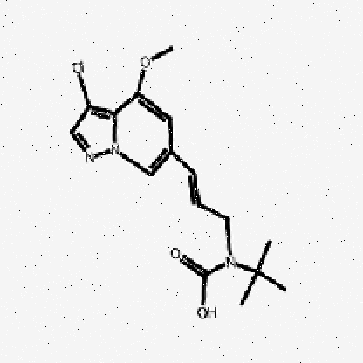 COc1cc(C=CCN(C(=O)O)C(C)(C)C)cn2ncc(Cl)c12